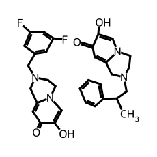 CC(CN1CCn2cc(O)c(=O)cc2C1)c1ccccc1.O=c1cc2n(cc1O)CCN(Cc1cc(F)cc(F)c1)C2